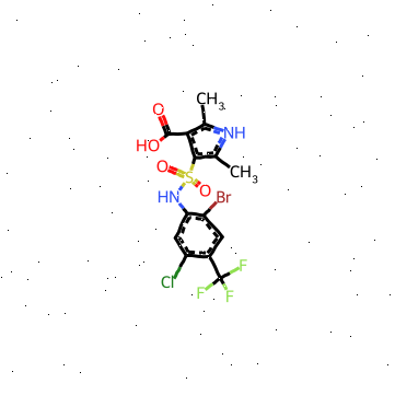 Cc1[nH]c(C)c(S(=O)(=O)Nc2cc(Cl)c(C(F)(F)F)cc2Br)c1C(=O)O